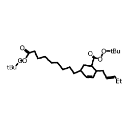 CCC=CCC1C=CC(CCCCCCCCC(=O)OOC(C)(C)C)CC1C(=O)OOC(C)(C)C